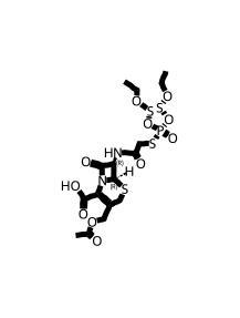 CCOSOP(=O)(OSOCC)SCC(=O)N[C@@H]1C(=O)N2C(C(=O)O)=C(COC(C)=O)CS[C@H]12